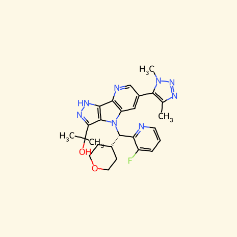 Cc1nnn(C)c1-c1cnc2c3[nH]nc(C(C)(C)O)c3n([C@H](c3ncccc3F)C3CCOCC3)c2c1